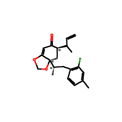 C=CC(C)[C@H]1C[C@]2([C@@H](C)Cc3ccc(C)cc3F)OCOC2=CC1=O